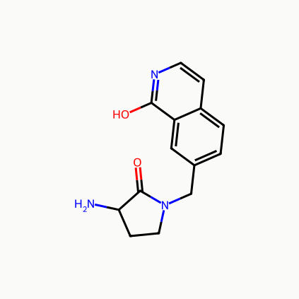 NC1CCN(Cc2ccc3ccnc(O)c3c2)C1=O